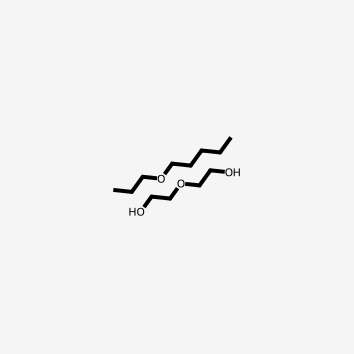 CCCCCOCCC.OCCOCCO